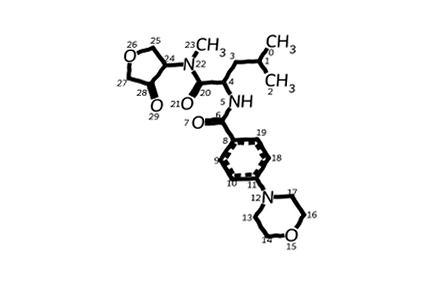 CC(C)CC(NC(=O)c1ccc(N2CCOCC2)cc1)C(=O)N(C)C1COCC1=O